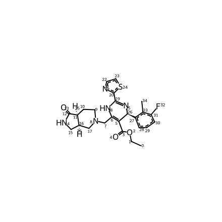 CCOC(=O)C1=C(CN2CC[C@@H]3C(=O)NC[C@@H]3C2)NC(c2nccs2)=N[C@H]1c1cccc(F)c1C